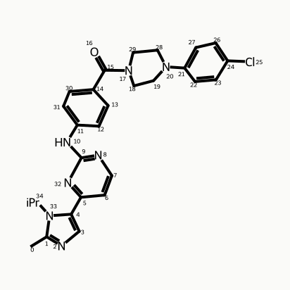 Cc1ncc(-c2ccnc(Nc3ccc(C(=O)N4CCN(c5ccc(Cl)cc5)CC4)cc3)n2)n1C(C)C